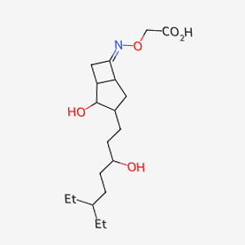 CCC(CC)CCC(O)CCC1CC2C(=NOCC(=O)O)CC2C1O